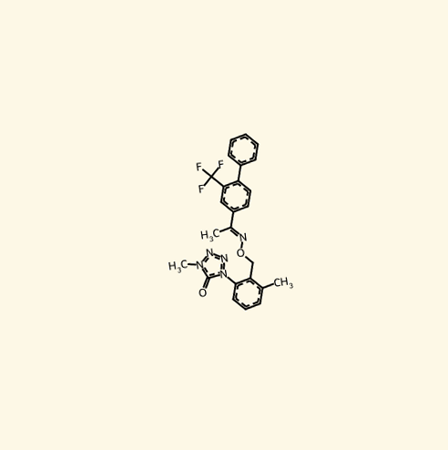 CC(=NOCc1c(C)cccc1-n1nnn(C)c1=O)c1ccc(-c2ccccc2)c(C(F)(F)F)c1